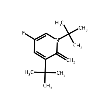 C=C1C(C(C)(C)C)=CC(F)=CN1C(C)(C)C